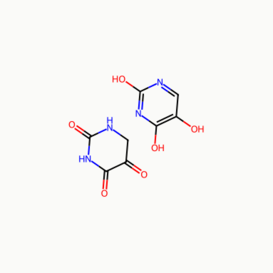 O=C1NCC(=O)C(=O)N1.Oc1ncc(O)c(O)n1